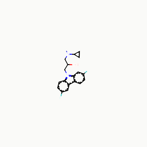 CCN(CC(O)Cn1c2ccc(F)cc2c2ccc(F)cc21)C1CC1